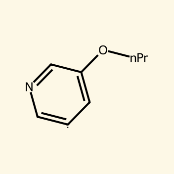 CCCOc1c[c]cnc1